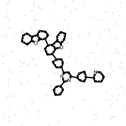 c1ccc(-c2nc(-c3ccc(-c4ccccn4)cc3)cc(-c3ccc(-c4ccc(-c5cccc6c5oc5ccccc56)c5c4oc4ccccc45)cc3)n2)cc1